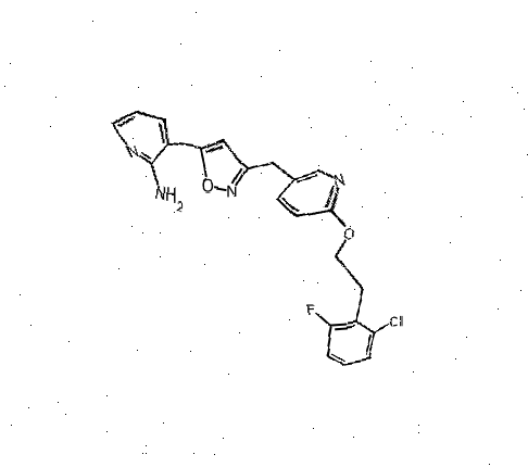 Nc1ncccc1-c1cc(Cc2ccc(OCCc3c(F)cccc3Cl)nc2)no1